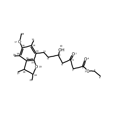 CCOC(=O)CC(=O)CC(O)CCc1c(C)c(OC)c(C)c2c1OC(C)C2C